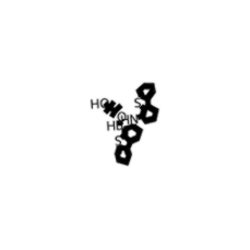 CC(C)(O)C(C)(C)OBc1c(Nc2cccc3c2sc2ccccc23)ccc2c1sc1ccccc12